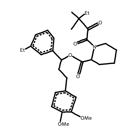 CCc1cccc(C(CCc2ccc(OC)c(OC)c2)OC(=O)C2CCCCN2C(=O)C(=O)C(C)(C)CC)c1